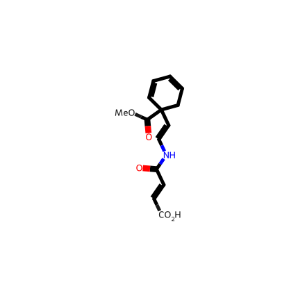 COC(=O)C1(C=CNC(=O)C=CC(=O)O)C=CC=CC1